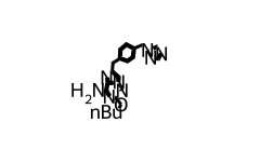 CCCCOc1nc(N)c2nc(Cc3ccc(Cn4cncn4)cc3)cn2n1